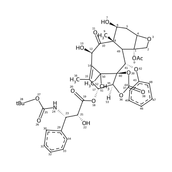 CC(=O)O[C@@]12COC1C[C@H](O)[C@@]1(C)C(=O)[C@H](O)C3=C(C)[C@@H](OC(=O)[C@H](O)[C@@H](NC(=O)OC(C)(C)C)c4ccccc4)[C@@H]4OC(=O)O[C@]4([C@@H](Oc4ccccc4)C21)C3(C)C